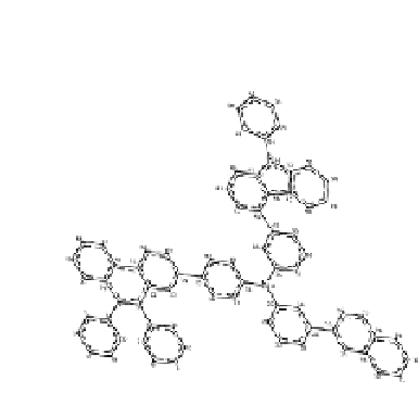 c1ccc(-c2c(-c3ccccc3)c3cc(-c4ccc(N(c5cccc(-c6ccc7ccccc7c6)c5)c5cccc(-c6cccc7c6c6ccccc6n7-c6ccccc6)c5)cc4)ccc3c3ccccc23)cc1